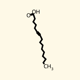 CCCCCCCCCC#CCCCCC(=O)O